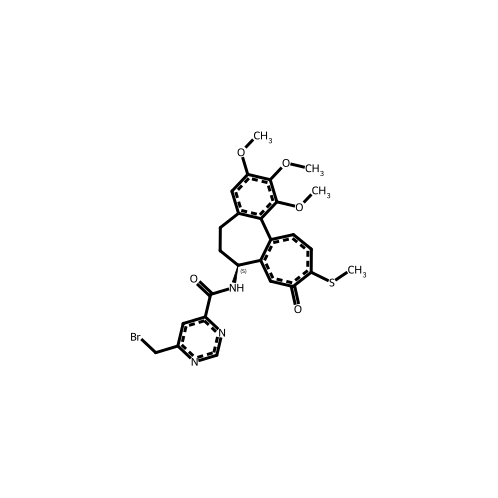 COc1cc2c(c(OC)c1OC)-c1ccc(SC)c(=O)cc1[C@@H](NC(=O)c1cc(CBr)ncn1)CC2